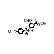 COc1ccc(S(=O)(=O)N[C@@H]2C[C@@H](C=O)N(C(=O)OC(C)(C)C)C2)cc1